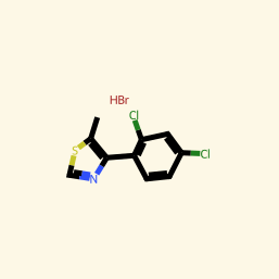 Br.Cc1scnc1-c1ccc(Cl)cc1Cl